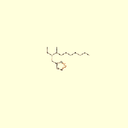 CCCCCCCC(C)C(CC)Cc1ccsc1